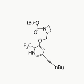 CCCCC#CC1=CNC(C(F)(F)F)C(OC[C@@H]2CCN2C(=O)OC(C)(C)C)=C1